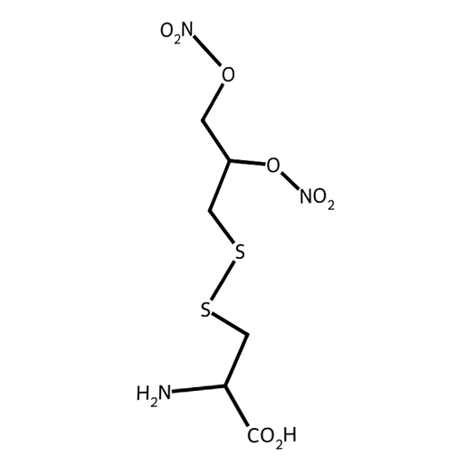 NC(CSSCC(CO[N+](=O)[O-])O[N+](=O)[O-])C(=O)O